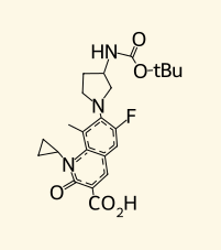 Cc1c(N2CCC(NC(=O)OC(C)(C)C)C2)c(F)cc2cc(C(=O)O)c(=O)n(C3CC3)c12